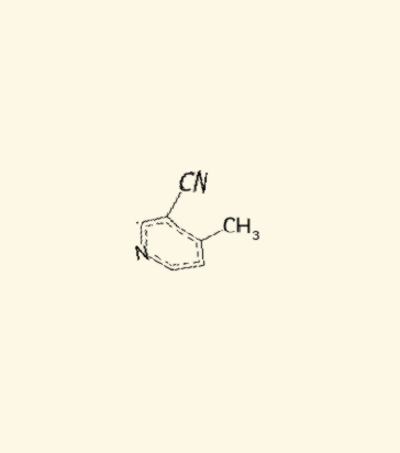 Cc1ccn[c]c1C#N